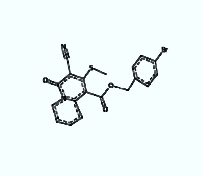 CSc1c(C#N)c(=O)n2ccccc2c1C(=O)OCc1ccc(Br)cc1